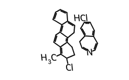 C1=Cc2ccccc2CC=N1.CC1=c2ccc3c(c2CCC1Cl)CC=c1ccccc1=3.Cl